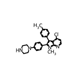 Cc1ccc(-c2c(-c3ccc(N4CCNCC4)cc3)n(C)c3nccc(Cl)c23)cc1